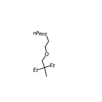 CCCCCCCOCC(C)(CC)CC